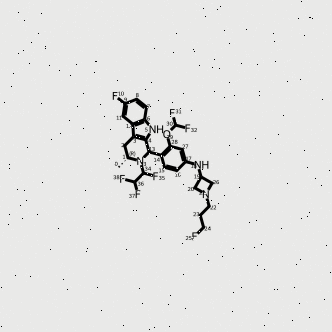 C[C@@H]1Cc2c([nH]c3ccc(F)cc23)C(c2ccc(NC3CN(CCCF)C3)cc2OC(F)F)N1C(F)C(F)F